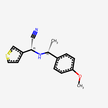 COc1ccc([C@@H](C)N[C@@H](C#N)c2ccsc2)cc1